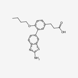 CCCCOc1ccc(CCC(=O)O)cc1-c1ccc2nc(N)sc2c1